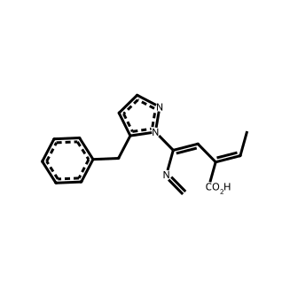 C=N/C(=C\C(=C/C)C(=O)O)n1nccc1Cc1ccccc1